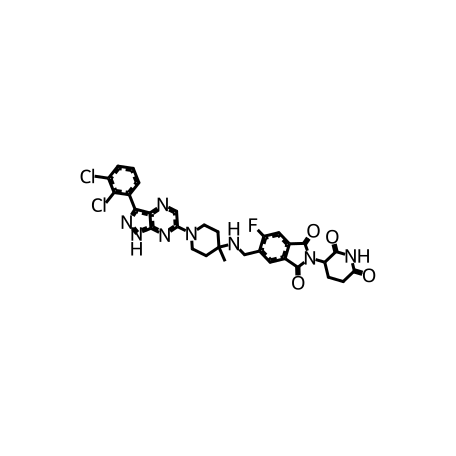 CC1(NCc2cc3c(cc2F)C(=O)N(C2CCC(=O)NC2=O)C3=O)CCN(c2cnc3c(-c4cccc(Cl)c4Cl)n[nH]c3n2)CC1